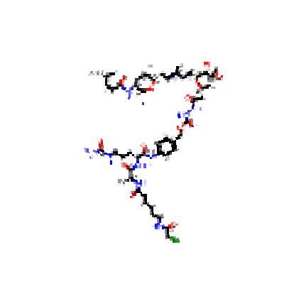 CC(=O)O[C@@H](C)/C=C\C(=O)N[C@@H]1C[C@H](C)[C@H](C/C=C(C)/C=C/[C@H]2O[C@H](CC(=O)NNC(=O)OCc3ccc(NC(=O)[C@H](CCCNC(N)=O)NC(=O)[C@@H](NC(=O)CCCCCNC(=O)CBr)C(C)C)cc3)C[C@@]3(CO3)[C@@H]2O)O[C@@H]1C